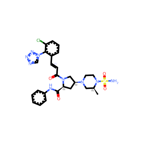 C[C@H]1CN([C@H]2C[C@@H](C(=O)Nc3ccccc3)N(C(=O)/C=C/c3cccc(Cl)c3-n3cnnn3)C2)CCN1S(N)(=O)=O